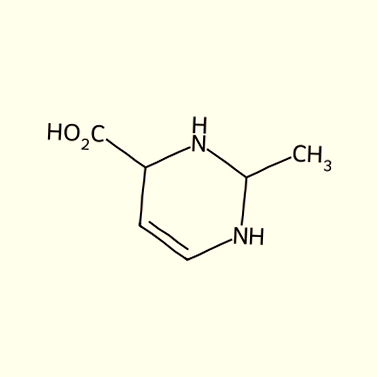 CC1NC=CC(C(=O)O)N1